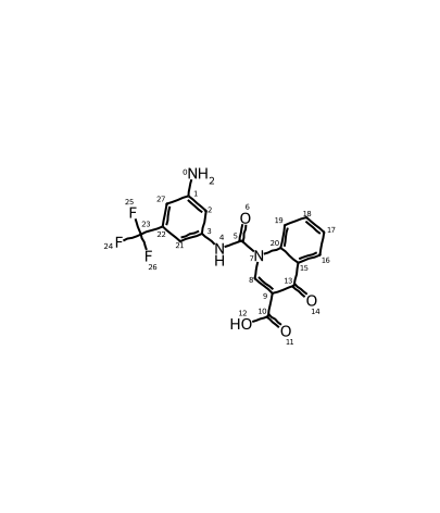 Nc1cc(NC(=O)n2cc(C(=O)O)c(=O)c3ccccc32)cc(C(F)(F)F)c1